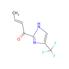 C/C=C/C(=O)c1nc(C(F)(F)F)c[nH]1